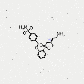 NC/C=C(\F)CS(=O)(=O)c1ccccc1OCc1ccc(S(N)(=O)=O)cc1